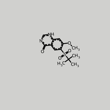 COc1cc2[nH]cnc(=O)c2cc1S(=O)(=O)C(C)(C)C